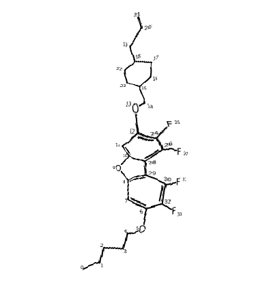 CCCCCOc1cc2oc3cc(OCC4CCC(CCC)CC4)c(F)c(F)c3c2c(F)c1F